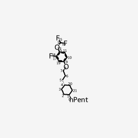 CCCCC[C@H]1CC[C@H](CCCOc2ccc(OC(F)F)c(F)c2)CC1